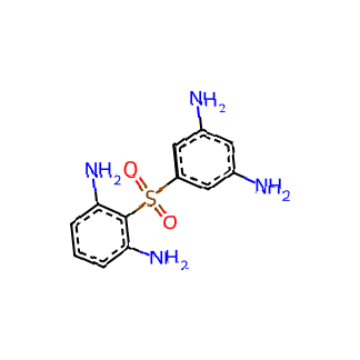 Nc1cc(N)cc(S(=O)(=O)c2c(N)cccc2N)c1